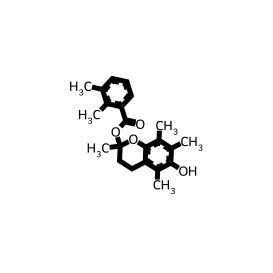 Cc1cccc(C(=O)OC2(C)CCc3c(C)c(O)c(C)c(C)c3O2)c1C